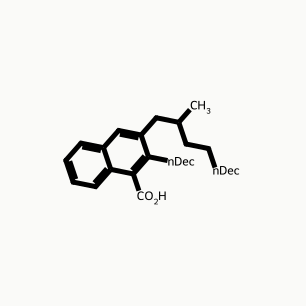 CCCCCCCCCCCCC(C)Cc1cc2ccccc2c(C(=O)O)c1CCCCCCCCCC